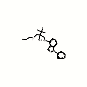 CCCNCC(O)(CNc1cccc2c1cnn2-c1ccccc1)C(F)(F)F